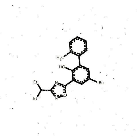 CCC(CC)c1noc(-c2cc(C(C)(C)C)cc(-c3ccccc3C)c2O)n1